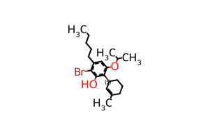 CCCCCc1cc(OC(C)C)c([C@@H]2C=C(C)CCC2)c(O)c1Br